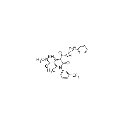 Cc1c(C(=O)N(C)C)cc(C(=O)NC2C[C@@H]2c2ccccc2)c(=O)n1-c1cccc(C(F)(F)F)c1